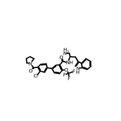 NCC(Cc1c[nH]c2ccccc12)NC(=O)c1cc(-c2ccc(C(=O)N3CCCC3)c(Cl)c2)ccc1OC(F)(F)F